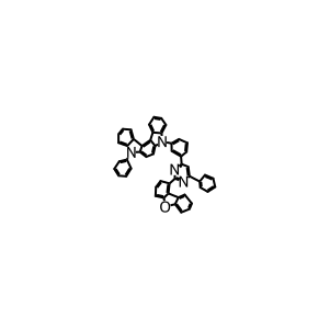 c1ccc(-c2cc(-c3cccc(-n4c5ccccc5c5c6c7ccccc7n(-c7ccccc7)c6ccc54)c3)nc(-c3cccc4oc5ccccc5c34)n2)cc1